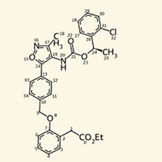 CCOC(=O)Cc1ccccc1OCc1ccc(-c2onc(C)c2NC(=O)O[C@H](C)c2ccccc2Cl)cc1